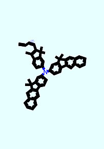 C=C/C=C\C1=C(C)c2ccc(N(c3ccc4c(c3)C(C)(C)c3cc5ccccc5cc3-4)c3ccc4c(c3)C(C)(C)c3cc5ccccc5cc3-4)cc2C1(C)C